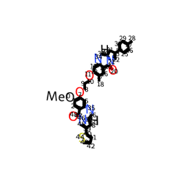 COc1cc2c(cc1OCCCOc1cc3c(cc1C)C(=O)N1C=C(c4ccc(C)cc4)C[C@H]1C=N3)N=C[C@@H]1CC(c3cccs3)=CN1C2=O